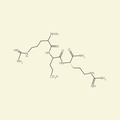 CC(=O)NC(CCCNC(=N)N)C(=O)NC(CCC(=O)O)C(=O)N[C@@H](CCCNC(=N)N)C(N)=O